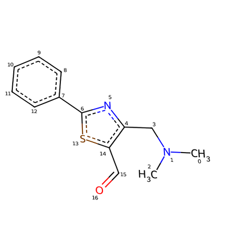 CN(C)Cc1nc(-c2ccccc2)sc1C=O